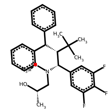 C[C@H](O)CN(O[SiH3])[C@@H](c1cc(F)c(F)c(F)c1)[C@H](C(c1ccccc1)c1ccccc1)C(C)(C)C